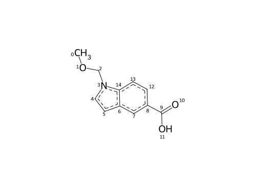 COCn1ccc2cc(C(=O)O)ccc21